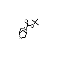 CC(C)(C)OC(=O)N1CC2CC1CS2